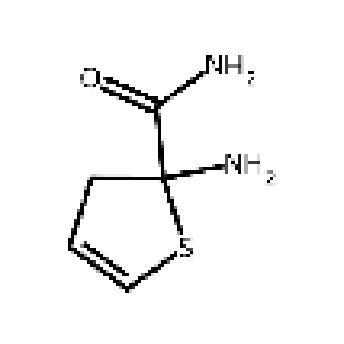 NC(=O)C1(N)CC=CS1